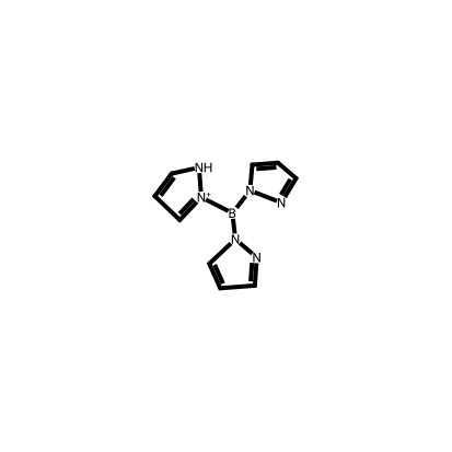 c1cnn(B(n2cccn2)[n+]2ccc[nH]2)c1